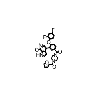 Cn1cc(-c2cc(C(=O)N3CCN(C(=O)c4ccco4)CC3)ccc2Oc2ccc(F)cc2F)c2cc[nH]c2c1=O